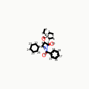 CC[Si](CC)(CC)O[C@@H]1C(=O)N(C(=O)c2ccccc2)[C@@H]1C1CCCCC1